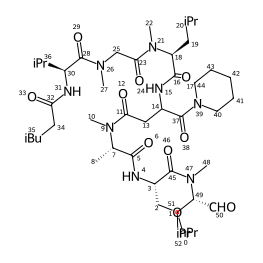 CCCOC[C@H](NC(=O)[C@H](C)N(C)C(=O)CC(NC(=O)[C@H](CC(C)C)N(C)C(=O)CN(C)C(=O)[C@@H](NC(=O)CC(C)CC)C(C)C)C(=O)N1CCCCC1)C(=O)N(C)[C@H](C=O)CC(C)C